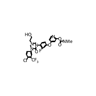 CNC(=O)Oc1cc(Oc2ccc(N3CN(CCO)CN(c4ccc(Cl)c(C(F)(F)F)c4)C3=O)c(F)c2)ccn1